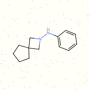 c1ccc(NN2CC3(CCCC3)C2)cc1